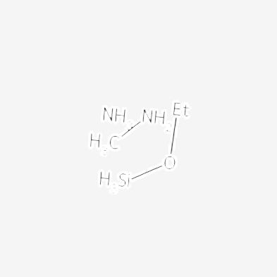 CCO[SiH3].CN.N